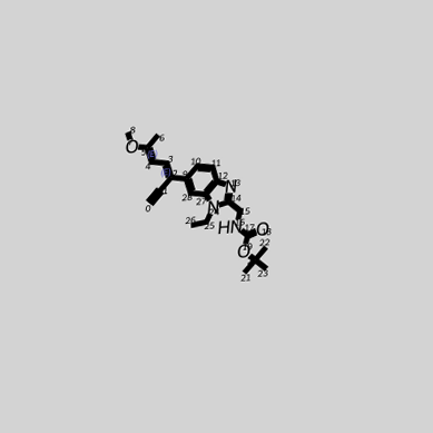 C#C/C(=C\C=C(/C)OC)c1ccc2nc(CNC(=O)OC(C)(C)C)n(CC)c2c1